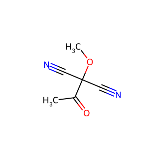 COC(C#N)(C#N)C(C)=O